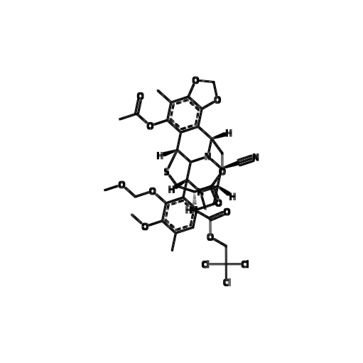 COCOc1c(OC)c(C)cc2c1[C@@H]1C3[C@@H]4SC[C@@H](NC(=O)OCC(Cl)(Cl)Cl)C(=O)OC[C@@H](c5c6c(c(C)c(OC(C)=O)c54)OCO6)N3[C@@H](C#N)[C@H](C2)N1C